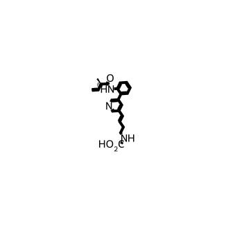 C=C[C@@H](C)C(=O)Nc1ccccc1-c1cncc(C=CCCNC(=O)O)c1